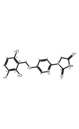 O=C1CN(c2ccc(OCc3c(Cl)ccc(F)c3Cl)cn2)C(=O)N1